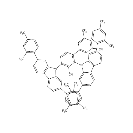 N#Cc1cc(-c2ccc(-n3c4cc(-c5ccc(C(F)(F)F)cc5C(F)(F)F)ccc4c4ccc(-c5ccc(C(F)(F)F)cc5C(F)(F)F)cc43)c(C#N)c2-n2c3cc(-c4ccc(C(F)(F)F)cc4C(F)(F)F)ccc3c3ccc(-c4ccc(C(F)(F)F)cc4C(F)(F)F)cc32)cc(C(F)(F)F)c1